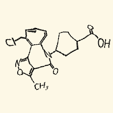 Cc1onc2c1c(=O)n(C1CCC(C(=O)O)CC1)c1cccc(Cl)c21